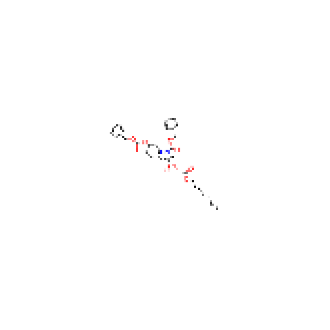 CCCCCCCCOC(=O)COC(=O)C(C)(Cc1ccc(OC(=O)OCc2ccccc2)cc1)NC(=O)OCc1ccccc1